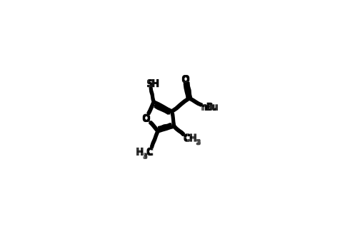 CCCCC(=O)c1c(S)oc(C)c1C